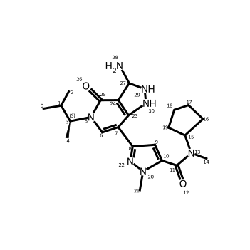 CC(C)[C@H](C)n1cc(-c2cc(C(=O)N(C)C3CCCC3)n(C)n2)c2c(c1=O)C(N)NN2